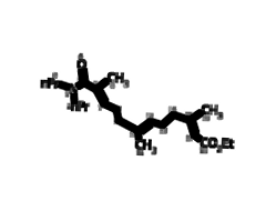 CCCN(CCC)C(=O)C(C)=CCCC(C)=CCCC(C)=CC(=O)OCC